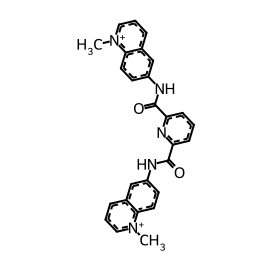 C[n+]1cccc2cc(NC(=O)c3cccc(C(=O)Nc4ccc5c(ccc[n+]5C)c4)n3)ccc21